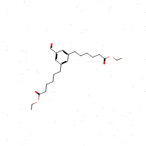 CCOC(=O)CCCCCc1cc(C=O)cc(CCCCCC(=O)OCC)c1